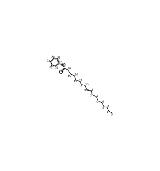 CCCCCCCCC=CCCCCCCCC(=O)Oc1ccccc1